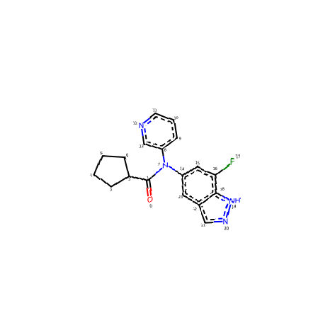 O=C(C1CCCC1)N(c1cccnc1)c1cc(F)c2[nH]ncc2c1